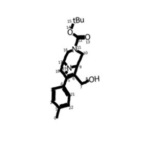 Cc1ccc(C2=C(CO)C3CN(C(=O)OC(C)(C)C)CC(C2)N3C)cc1